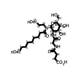 CCCCCCCCCCCCCCCCCC(=O)N(CCCCCCCCCCCC)[C@@H]1O[C@H](CO)[C@H](O)[C@H](O)[C@H]1NC(=O)CNC(=O)CCC(=O)O